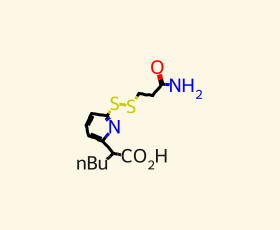 CCCCC(C(=O)O)c1cccc(SSCCC(N)=O)n1